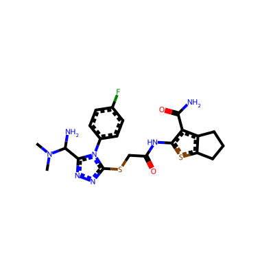 CN(C)C(N)c1nnc(SCC(=O)Nc2sc3c(c2C(N)=O)CCC3)n1-c1ccc(F)cc1